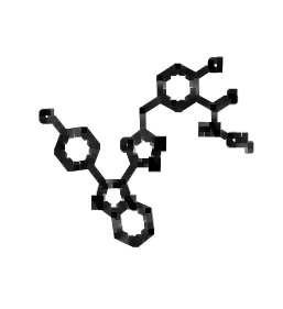 CNC(=S)c1cc(Cc2nnc(-c3c(-c4ccc(Cl)cc4)nc4ccccn34)o2)ccc1Cl